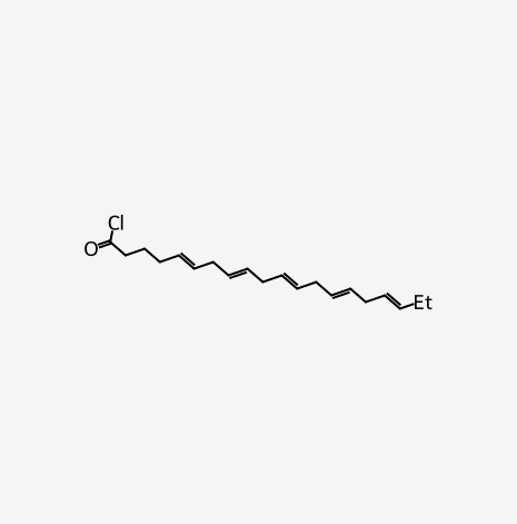 CCC=CCC=CCC=CCC=CCC=CCCCC(=O)Cl